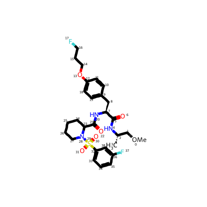 COC[C@H](C)NC(=O)[C@H](Cc1ccc(OCCCF)cc1)NC(=O)C1CCCCN1S(=O)(=O)c1cccc(F)c1